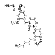 CCCCCOc1cc(N2CCCN(Cc3ccc(C(C)CN=[N+]=[N-])cc3OC)C2=O)ccc1OC